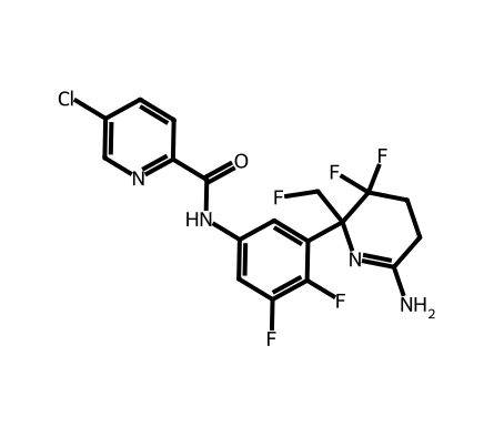 NC1=NC(CF)(c2cc(NC(=O)c3ccc(Cl)cn3)cc(F)c2F)C(F)(F)CC1